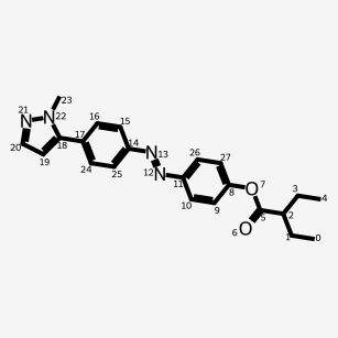 CCC(CC)C(=O)Oc1ccc(N=Nc2ccc(-c3ccnn3C)cc2)cc1